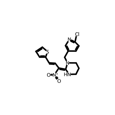 O=[N+]([O-])C(/C=C/c1cccs1)=C1\NCCCN1Cc1ccc(Cl)nc1